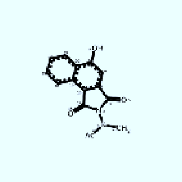 CC(=O)N(C)N1C(=O)c2cc(O)c3ccccc3c2C1=O